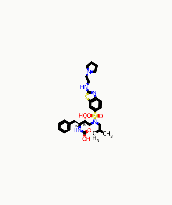 CC(C)CN(C[C@@H](O)[C@H](Cc1ccccc1)NC(=O)O)S(=O)(=O)c1ccc2nc(NCCN3CCCC3)sc2c1